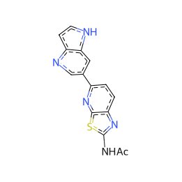 CC(=O)Nc1nc2ccc(-c3cnc4cc[nH]c4c3)nc2s1